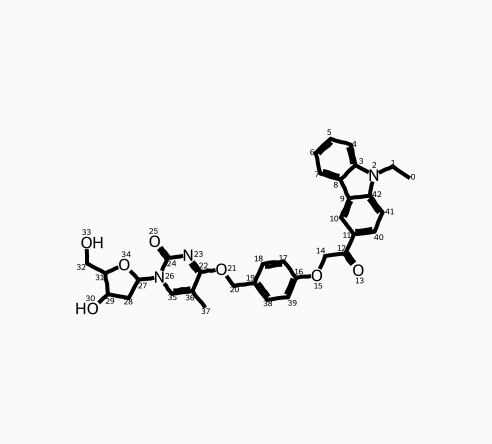 CCn1c2ccccc2c2cc(C(=O)COc3ccc(COc4nc(=O)n(C5CC(O)C(CO)O5)cc4C)cc3)ccc21